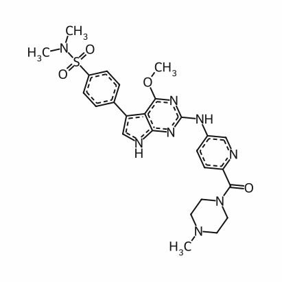 COc1nc(Nc2ccc(C(=O)N3CCN(C)CC3)nc2)nc2[nH]cc(-c3ccc(S(=O)(=O)N(C)C)cc3)c12